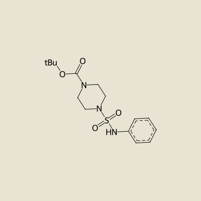 CC(C)(C)OC(=O)N1CCN(S(=O)(=O)Nc2ccccc2)CC1